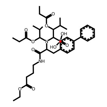 CCOC(=O)CCCNC(=O)C(Cc1ccc(-c2ccccc2)cc1)N(C(OC(=O)CC)C(C)C)C(C(OC(=O)CC)C(C)C)P(=O)(O)O